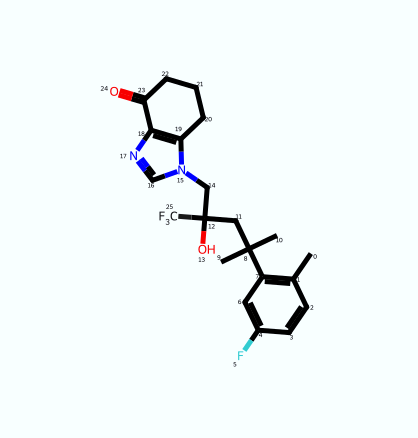 Cc1ccc(F)cc1C(C)(C)CC(O)(Cn1cnc2c1CCCC2=O)C(F)(F)F